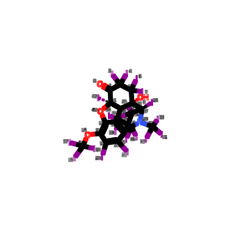 O=C1C(I)(I)C(I)(I)[C@]2(O)[C@]34c5c(c(OC(I)(I)I)c(I)c(I)c5C(I)(I)[C@@]2(I)N(C(I)(I)I)C(I)(I)C3(I)I)O[C@@]14I